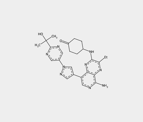 CCc1nc2c(N)ncc(-c3cnn(-c4cnc(C(C)(C)O)nc4)c3)c2nc1NC1CCC(=O)CC1